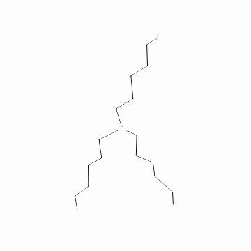 FCCCC[CH2][Al]([CH2]CCCCF)[CH2]CCCCF